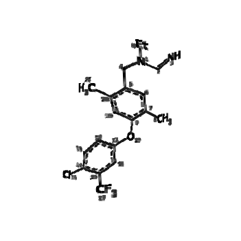 CCN(C=N)Cc1cc(C)c(Oc2ccc(Cl)c(C(F)(F)F)c2)cc1C